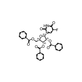 O=C(OC[C@H]1O[C@@H](n2cc(F)c(=O)[nH]c2=O)[C@H](OC(=O)c2ccccc2)[C@@H]1OC(=O)c1ccccc1)c1ccccc1